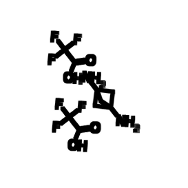 NC12CC(N)(C1)C2.O=C(O)C(F)(F)F.O=C(O)C(F)(F)F